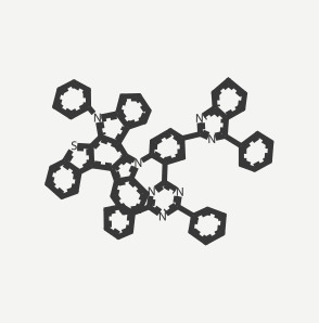 c1ccc(-c2nc(-c3ccccc3)nc(-c3cc(-c4nc(-c5ccccc5)c5ccccc5n4)ccc3-n3c4ccccc4c4c5c6ccccc6sc5c5c(c6ccccc6n5-c5ccccc5)c43)n2)cc1